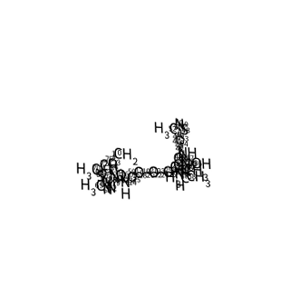 C=Cc1ccc(C2=N[C@@H](CC(=O)Nc3ccc(OCCCOCCCOCC(=O)N[C@H](C(=O)N4C[C@H](O)C[C@H]4C(=O)NCc4ccc(-c5scnc5C)cc4)C(C)(C)C)cc3)c3nnc(C)n3-c3sc(C)c(C)c32)cc1